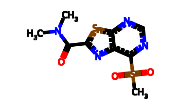 CN(C)C(=O)c1nc2c(S(C)(=O)=O)ncnc2s1